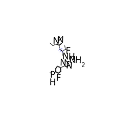 CCc1nn(C)cc1/C=C(/CNc1nc(-c2ccc(PC)c(F)c2)cnc1N)C(C)F